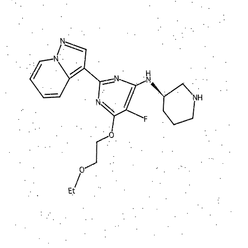 CCOCCOc1nc(-c2cnn3ccccc23)nc(N[C@@H]2CCCNC2)c1F